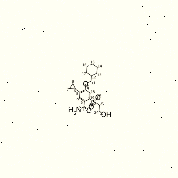 NC(=O)c1cc(C2CC2)c(OCC2CCCCC2)cc1S(=O)(=O)CCO